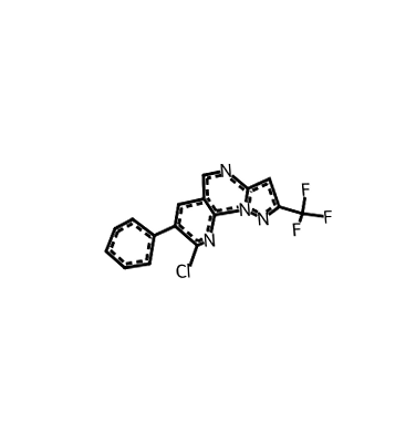 FC(F)(F)c1cc2ncc3cc(-c4ccccc4)c(Cl)nc3n2n1